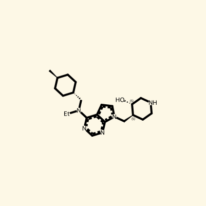 CCN(C[C@H]1CC[C@H](C)CC1)c1ncnc2c1ccn2C[C@@H]1CCNC[C@H]1O